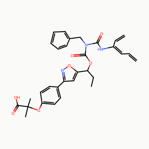 C=C/C=C(\C=C)NC(=O)N(Cc1ccccc1)C(=O)OC(CC)c1cc(-c2ccc(OC(C)(C)C(=O)O)cc2)no1